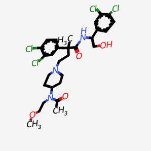 COCCN(C(C)=O)C1CCN(CCC(C)(C(=O)NC(CO)c2ccc(Cl)c(Cl)c2)c2ccc(Cl)c(Cl)c2)CC1